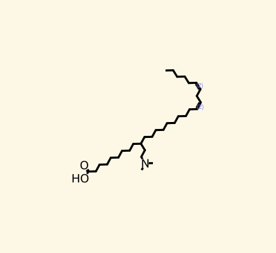 CCCCC/C=C\C/C=C\CCCCCCCCCC(CCCCCCCCC(=O)O)CCN(C)C